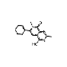 Cc1nc(O)c2cc(C3=CCCCC3)n(C)c(=O)c2n1